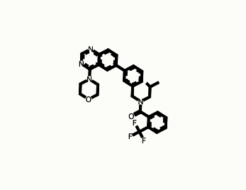 CC(C)CN(Cc1cccc(-c2ccc3ncnc(N4CCOCC4)c3c2)c1)C(=O)c1ccccc1C(F)(F)F